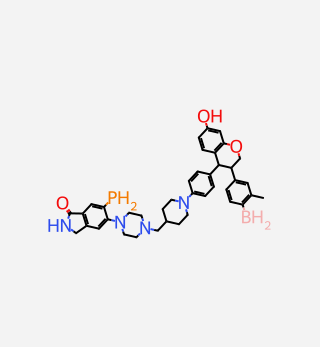 Bc1ccc(C2COc3cc(O)ccc3C2c2ccc(N3CCC(CN4CCN(c5cc6c(cc5P)C(=O)NC6)CC4)CC3)cc2)cc1C